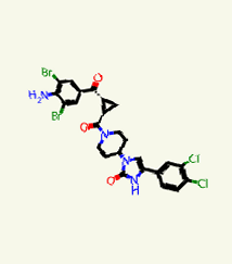 Nc1c(Br)cc(C(=O)[C@@H]2C[C@H]2C(=O)N2CCC(n3cc(-c4ccc(Cl)c(Cl)c4)[nH]c3=O)CC2)cc1Br